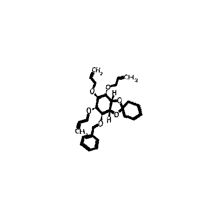 C=CCO[C@@H]1[C@@H](OCC=C)[C@H](OCC=C)[C@@H]2OC3(CCCCC3)O[C@@H]2[C@H]1OCc1ccccc1